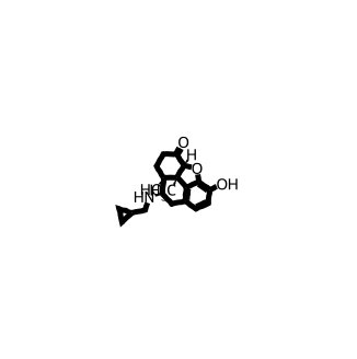 C[C@@]12c3c4ccc(O)c3O[C@@H]1C(=O)CC[C@]2(O)[C@@H](NCC1CC1)C4